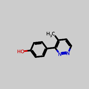 Cc1ccnnc1-c1ccc(O)cc1